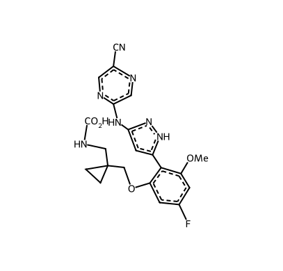 COc1cc(F)cc(OCC2(CNC(=O)O)CC2)c1-c1cc(Nc2cnc(C#N)cn2)n[nH]1